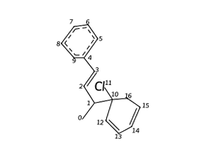 CC(C=Cc1ccccc1)C1(Cl)C=CC=CC1